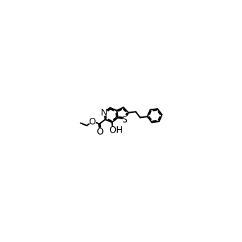 CCOC(=O)c1ncc2cc(CCc3ccccc3)sc2c1O